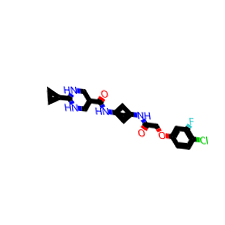 O=C(COc1ccc(Cl)c(F)c1)NC12CC(NC(=O)C3CNC(C4CC4)NC3)(C1)C2